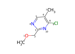 COCc1ncc(C)c(Cl)n1